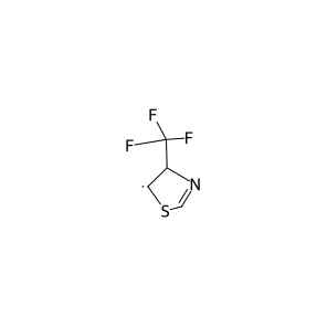 FC(F)(F)C1[CH]SC=N1